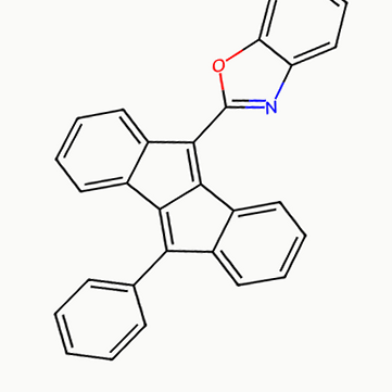 c1ccc(C2=C3C(=C(c4nc5ccccc5o4)c4ccccc43)c3ccccc32)cc1